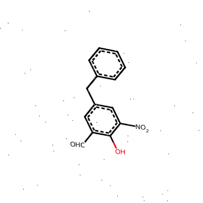 O=Cc1cc(Cc2ccccc2)cc([N+](=O)[O-])c1O